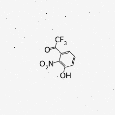 O=C(c1cccc(O)c1[N+](=O)[O-])C(F)(F)F